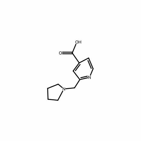 O=C(O)c1ccnc(CN2CCCC2)c1